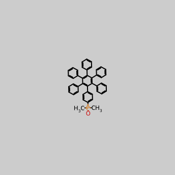 CP(C)(=O)c1ccc(-c2c(-c3ccccc3)c(-c3ccccc3)c(-c3ccccc3)c(-c3ccccc3)c2-c2ccccc2)cc1